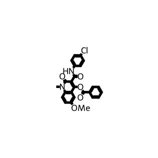 COc1ccc2c(c1)c(OC(=O)c1ccccc1)c(C(=O)Nc1ccc(Cl)cc1)c(=O)n2C